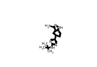 CC(C)(C)Nc1ncc(-c2ccc3[nH]nc(N)c3c2)cn1